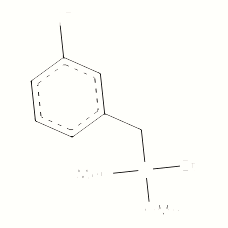 CC[Si](Cc1cccc(C(F)(F)F)c1)(OC)OC